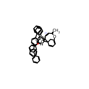 C=C1/C=C\C(C)(n2c3ccccc3c3ccc(-c4ccccc4)cc32)C2(c3nc(-c4ccccc4)nc(-c4cccc(-c5ccccc5)c4)n3)C=CC=C(C2)O1